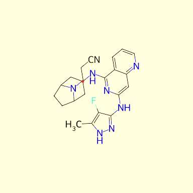 Cc1[nH]nc(Nc2cc3ncccc3c(NC3CC4CCC(C3)N4CCC#N)n2)c1F